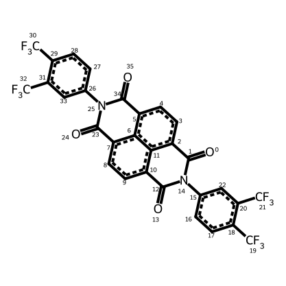 O=C1c2ccc3c4c(ccc(c24)C(=O)N1c1ccc(C(F)(F)F)c(C(F)(F)F)c1)C(=O)N(c1ccc(C(F)(F)F)c(C(F)(F)F)c1)C3=O